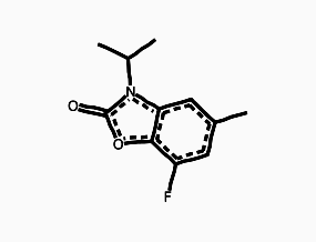 Cc1cc(F)c2oc(=O)n(C(C)C)c2c1